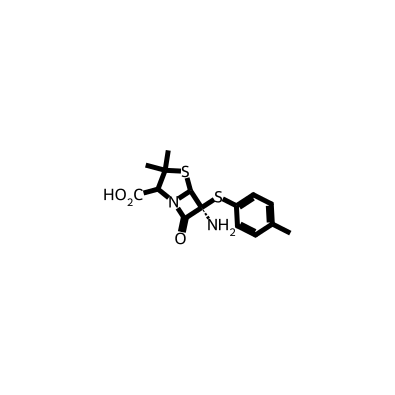 Cc1ccc(S[C@@]2(N)C(=O)N3C(C(=O)O)C(C)(C)SC32)cc1